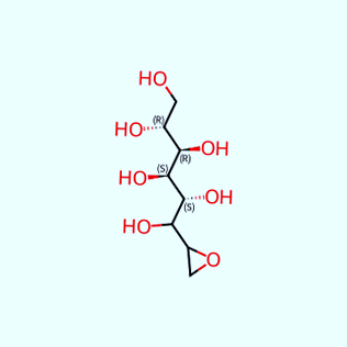 OC[C@@H](O)[C@@H](O)[C@H](O)[C@H](O)C(O)C1CO1